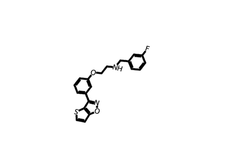 Fc1cccc(CNCCOc2cccc(-c3noc4ccsc34)c2)c1